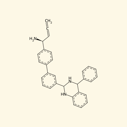 C=C=C[C@H](N)c1ccc(-c2cccc(C3Nc4ccccc4C(c4ccccc4)N3)c2)cc1